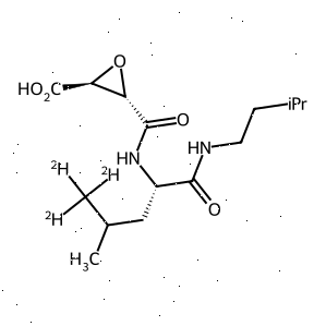 [2H]C([2H])([2H])C(C)C[C@H](NC(=O)[C@H]1O[C@@H]1C(=O)O)C(=O)NCCC(C)C